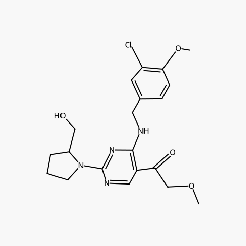 COCC(=O)c1cnc(N2CCCC2CO)nc1NCc1ccc(OC)c(Cl)c1